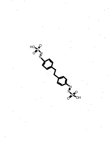 O=S(=O)(O)/N=N/c1ccc(CCc2ccc(/N=N/S(=O)(=O)O)cc2)cc1